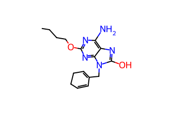 CCCCOc1nc(N)c2nc(O)n(CC3=CCCC=C3)c2n1